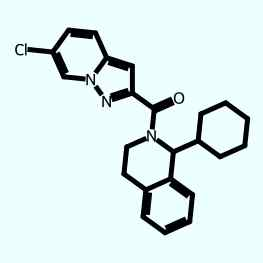 O=C(c1cc2ccc(Cl)cn2n1)N1CCc2ccccc2C1C1CCCCC1